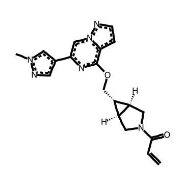 C=CC(=O)N1C[C@@H]2[C@@H](COc3nc(-c4cnn(C)c4)cn4nccc34)[C@@H]2C1